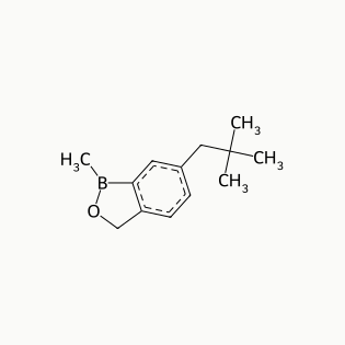 CB1OCc2ccc(CC(C)(C)C)cc21